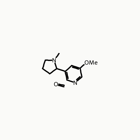 C=O.COc1cncc(C2CCCN2C)c1